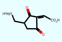 CCCCCCCCC1CC(=O)/C(=C\C(=O)O)C1=O